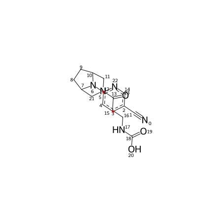 N#Cc1ccc(N2C3CCC2CN(C(=O)CCNC(=O)O)C3)nc1